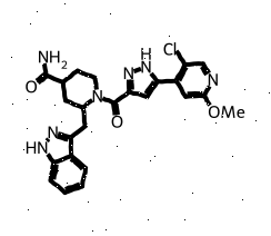 COc1cc(-c2cc(C(=O)N3CCC(C(N)=O)CC3Cc3n[nH]c4ccccc34)n[nH]2)c(Cl)cn1